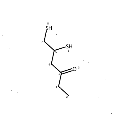 CCC(=O)CC(S)CS